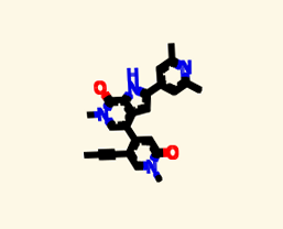 CC#Cc1cn(C)c(=O)cc1-c1cn(C)c(=O)c2[nH]c(-c3cc(C)nc(C)c3)cc12